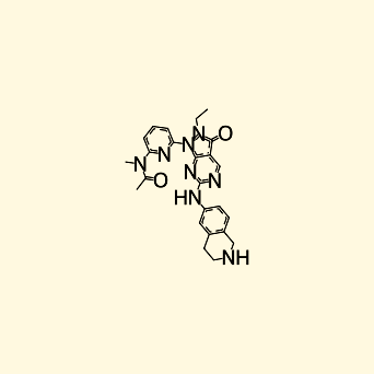 CCn1c(=O)c2cnc(Nc3ccc4c(c3)CCNC4)nc2n1-c1cccc(N(C)C(C)=O)n1